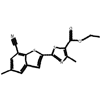 CCOC(=O)c1sc(-c2cc3cc(C)cc(C#N)c3s2)nc1C